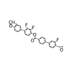 COc1ccc(-c2ccc(OC(=O)c3ccc(-c4ccc(C5CO5)c(F)c4)cc3)c(F)c2F)cc1